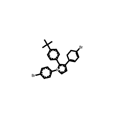 CC(C)(C)c1ccc(-c2c(C3=CC=C(Br)CC3)ccn2-c2ccc(Br)cc2)cc1